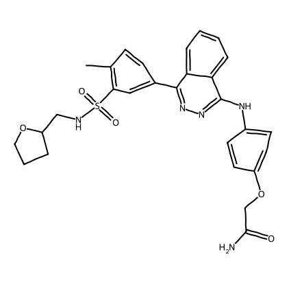 Cc1ccc(-c2nnc(Nc3ccc(OCC(N)=O)cc3)c3ccccc23)cc1S(=O)(=O)NCC1CCCO1